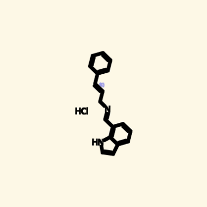 C(=NC/C=C/c1ccccc1)c1cccc2cc[nH]c12.Cl